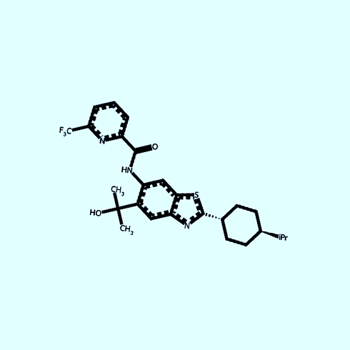 CC(C)[C@H]1CC[C@H](c2nc3cc(C(C)(C)O)c(NC(=O)c4cccc(C(F)(F)F)n4)cc3s2)CC1